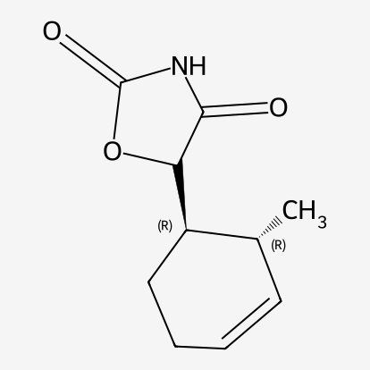 C[C@@H]1C=CCC[C@H]1C1OC(=O)NC1=O